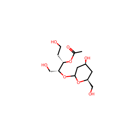 CC(=O)O[C@@H](CCO)[C@@H](CO)OC1C[C@@H](O)C[C@@H](CO)O1